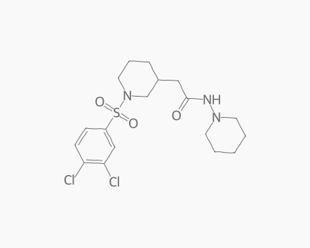 O=C(CC1CCCN(S(=O)(=O)c2ccc(Cl)c(Cl)c2)C1)NN1CCCCC1